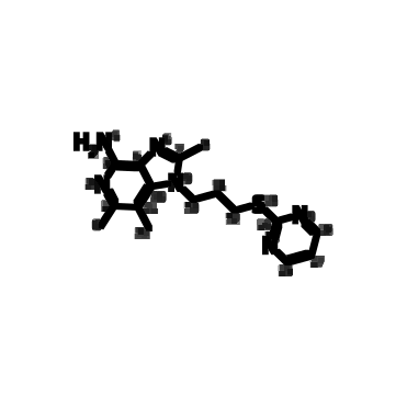 Cc1nc(N)c2nc(C)n(CCCSc3ncccn3)c2c1C